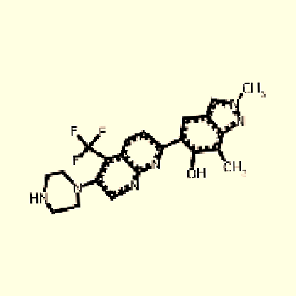 Cc1c(O)c(-c2ccc3c(C(F)(F)F)c(N4CCNCC4)cnc3n2)cc2cn(C)nc12